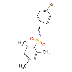 Cc1cc(C)c(S(=O)(=O)NCc2ccc(Br)cc2)c(C)c1